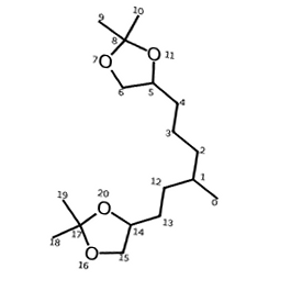 CC(CCCC1COC(C)(C)O1)CCC1COC(C)(C)O1